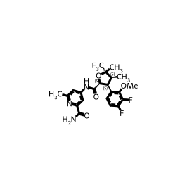 COc1c([C@H]2[C@@H](C(=O)Nc3cc(C)nc(C(N)=O)c3)O[C@](C)(C(F)(F)F)[C@H]2C)ccc(F)c1F